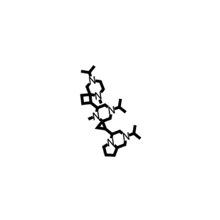 CC(C)N1CC2CCCN2C(C2CC23CN(C(C)C)CC(C2CCC24CN(C(C)C)CCN4C)N3C)C1